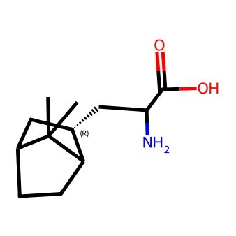 CC1(C)C2CCC1[C@@H](CC(N)C(=O)O)C2